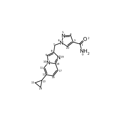 NC(=O)c1cnn(Cc2cn3cc(C4CC4)ccc3n2)c1